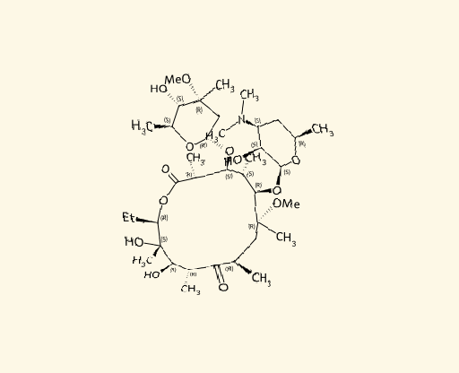 CC[C@H]1OC(=O)[C@H](C)[C@@H](O[C@H]2C[C@@](C)(OC)[C@@H](O)[C@H](C)O2)[C@H](C)[C@@H](O[C@@H]2O[C@H](C)C[C@H](N(C)C)[C@@H]2O)[C@](C)(OC)C[C@@H](C)C(=O)[C@H](C)[C@@H](O)[C@]1(C)O